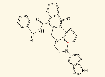 CC[C@H](NC(=O)c1c(CN2CCN(c3ccc4[nH]ccc4c3)CC2)n(-c2ccccc2)c(=O)c2ccccc12)c1ccccc1